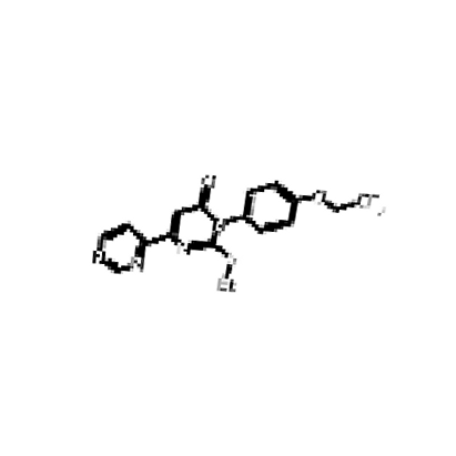 CCSc1nc(-c2ccncn2)cc(=O)n1-c1ccc(OCC(F)(F)F)cc1